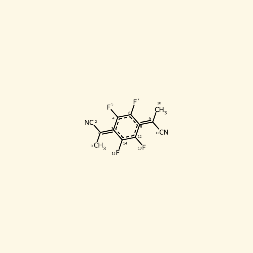 CC(C#N)=c1c(F)c(F)c(=C(C)C#N)c(F)c1F